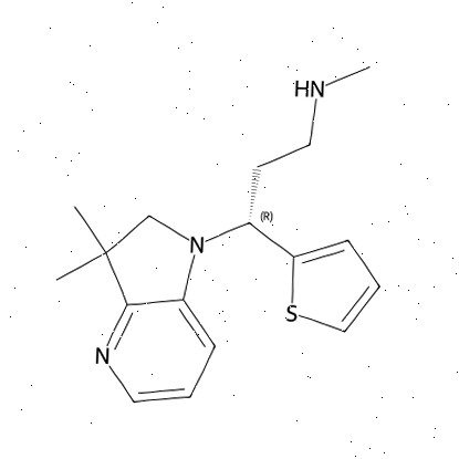 CNCC[C@H](c1cccs1)N1CC(C)(C)c2ncccc21